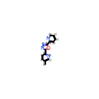 Cc1ccc(-c2nnc(-c3ccccn3)o2)nc1